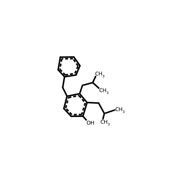 CC(C)Cc1c(O)ccc(Cc2ccccc2)c1CC(C)C